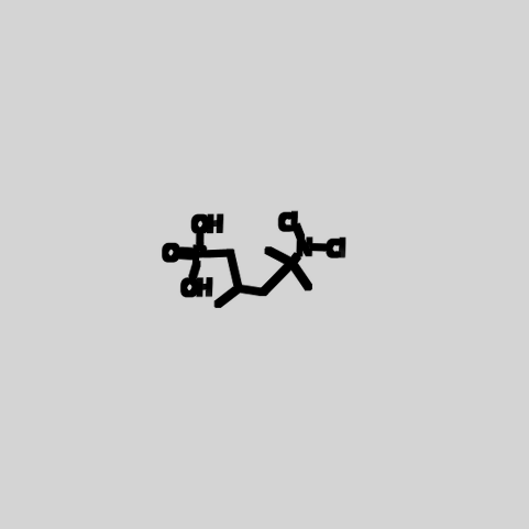 CC(CC(C)(C)N(Cl)Cl)CP(=O)(O)O